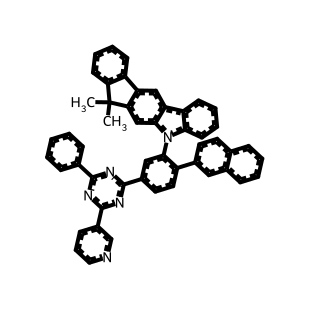 CC1(C)c2ccccc2-c2cc3c4ccccc4n(-c4cc(-c5nc(-c6ccccc6)nc(-c6cccnc6)n5)ccc4-c4ccc5ccccc5c4)c3cc21